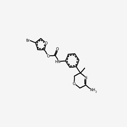 CC1(c2cccc(NC(=O)Oc3cc(Br)co3)c2)COCC(N)=N1